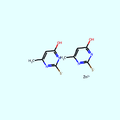 Cc1cc(O)nc([S-])n1.Cc1cc(O)nc([S-])n1.[Zn+2]